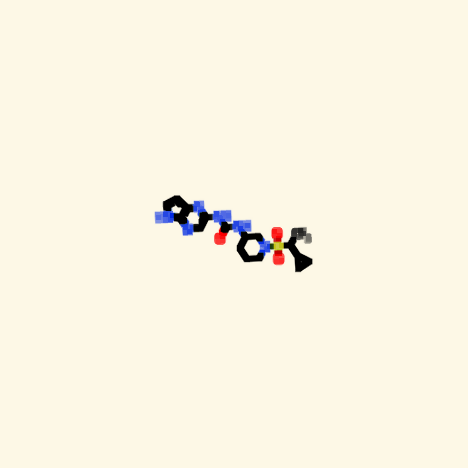 O=C(Nc1cnc2[nH]ccc2n1)NC1CCCN(S(=O)(=O)C(C2CC2)C(F)(F)F)C1